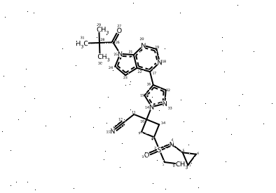 CCS(=O)(=NC1CC1)C1CC(CC#N)(n2cc(-c3ncnc4c3ccn4C(=O)C(C)(C)C)cn2)C1